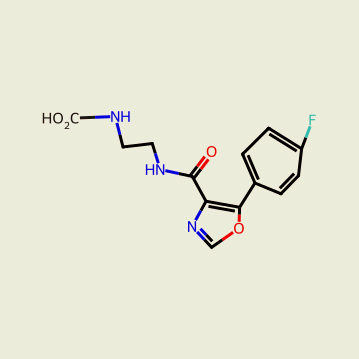 O=C(O)NCCNC(=O)c1ncoc1-c1ccc(F)cc1